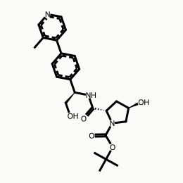 Cc1cnccc1-c1ccc([C@H](CO)NC(=O)[C@@H]2C[C@@H](O)CN2C(=O)OC(C)(C)C)cc1